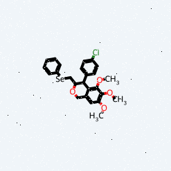 COc1cc2c(c(OC)c1OC)C(c1ccc(Cl)cc1)C(C[Se]c1ccccc1)OC2